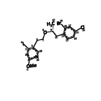 COc1cc(I)c(CCO[C@H](C)Cc2ccc(Cl)cc2Br)cn1